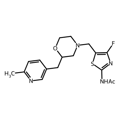 CC(=O)Nc1nc(F)c(CN2CCOC(Cc3ccc(C)nc3)C2)s1